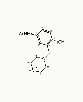 CC(=O)Nc1ccc(O)c(CN2CCNCC2)c1